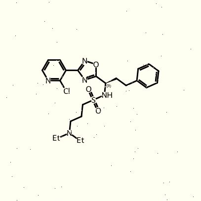 CCN(CC)CCCS(=O)(=O)N[C@H](CCc1ccccc1)c1nc(-c2cccnc2Cl)no1